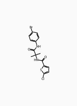 CC(C)(NC(=O)c1ccc(Cl)s1)C(=O)Nc1ccc(Br)cc1